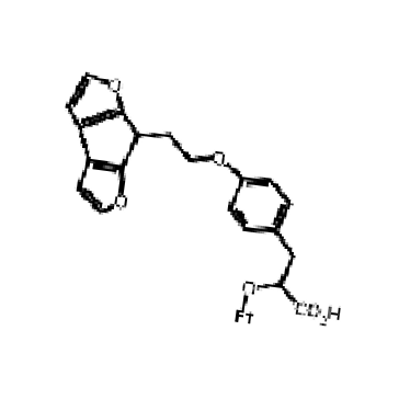 CCOC(Cc1ccc(OCCC2c3occc3-c3ccoc32)cc1)C(=O)O